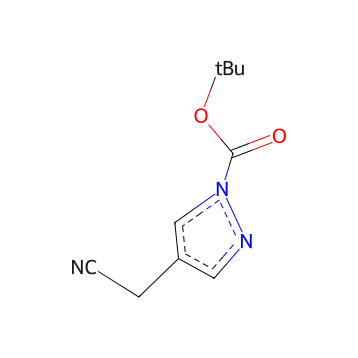 CC(C)(C)OC(=O)n1cc(CC#N)cn1